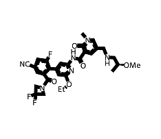 CCOc1cc(-c2c(F)cc(C#N)cc2C(=O)N2CC(F)(F)C2)cc(NC(=O)c2cc(CNC[C@H](C)OC)cn(C)c2=O)n1